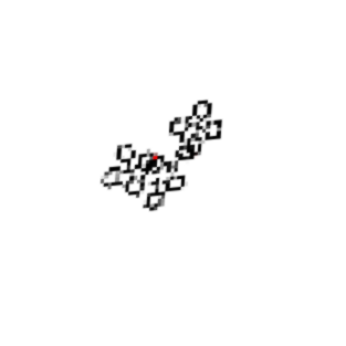 CC1(C)c2ccccc2-c2cccc(N(c3cccc(-c4cccc5c4C(c4ccccc4)(c4ccccc4)c4ccccc4-5)c3)c3cccc(-c4cccc5c4C(c4ccccc4)(c4ccccc4)c4ccccc4-5)c3)c21